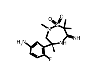 CN1C[C@@](C)(c2cc(N)ccc2F)NC(=N)C(C)(C)S1(=O)=O